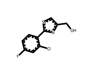 OCc1csc(-c2ccc(F)cc2Cl)n1